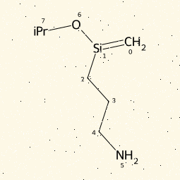 C=[Si](CCCN)OC(C)C